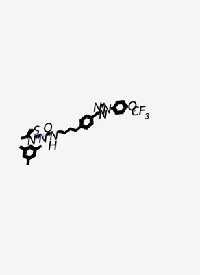 Cc1cc(C)c(-n2c(C)cs/c2=N\C(=O)NCCCCc2ccc(-c3ncn(-c4ccc(OC(F)(F)F)cc4)n3)cc2)c(C)c1